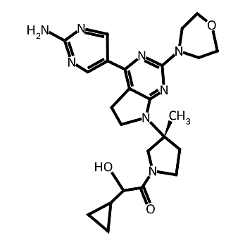 C[C@@]1(N2CCc3c(-c4cnc(N)nc4)nc(N4CCOCC4)nc32)CCN(C(=O)C(O)C2CC2)C1